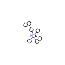 c1ccc(-c2nc(-c3ccc(-c4cccc5ccccc45)cc3)c(-c3ccccc3)c3c2-c2cccc4cccc-3c24)cc1